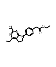 CCOC(=O)Cc1ccc(N2CCc3c(CC)nc(Cl)nc32)cc1